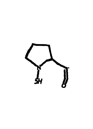 O=[C]C1CCCN1S